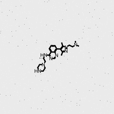 Cc1nn(CCN(C)C)c(C)c1-c1cccc2c(N[C@@H](C)CN3CCNCC3)ncnc12